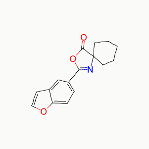 O=C1OC(c2ccc3occc3c2)=NC12CCCCC2